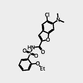 CCOc1ccccc1S(=O)(=O)NC(=O)c1cc2cc(Cl)c(N(C)C)cc2o1